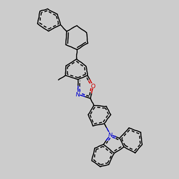 Cc1cc(C2=CCCC(c3ccccc3)=C2)cc2oc(-c3ccc(-n4c5ccccc5c5ccccc54)cc3)nc12